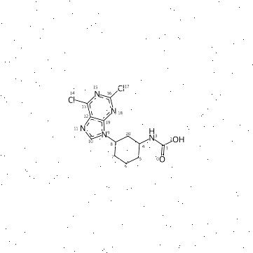 O=C(O)NC1CCCC(n2cnc3c(Cl)nc(Cl)nc32)C1